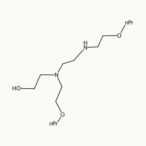 CCCOCCNCCN(CCO)CCOCCC